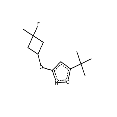 CC1(F)CC(Oc2cc(C(C)(C)C)on2)C1